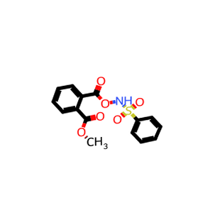 COC(=O)c1ccccc1C(=O)ONS(=O)(=O)c1ccccc1